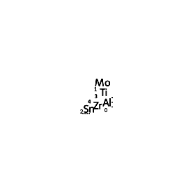 [Al].[Mo].[Sn].[Ti].[Zr]